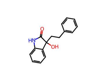 O=C1Nc2ccccc2C1(O)CCc1ccccc1